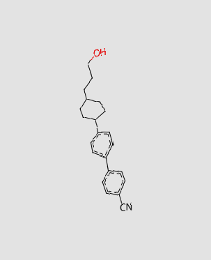 N#Cc1ccc(-c2ccc(C3CCC(CCCO)CC3)cc2)cc1